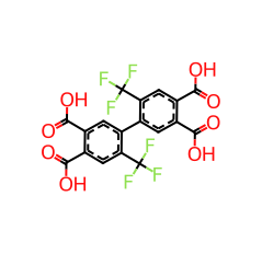 O=C(O)c1cc(-c2cc(C(=O)O)c(C(=O)O)cc2C(F)(F)F)c(C(F)(F)F)cc1C(=O)O